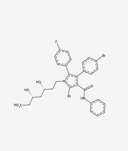 CC(C)c1c(C(=O)Nc2ccccc2)c(-c2ccc(Br)cc2)c(-c2ccc(F)cc2)n1CC[C@@H](O)C[C@@H](O)CC(=O)O